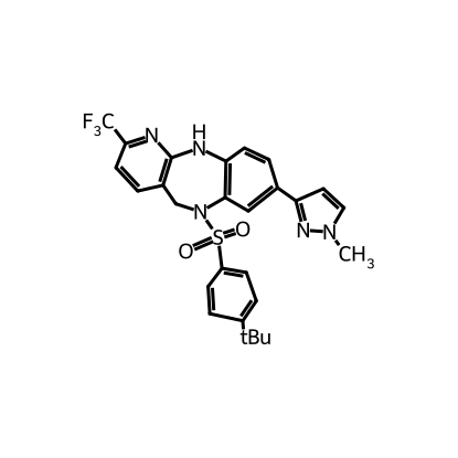 Cn1ccc(-c2ccc3c(c2)N(S(=O)(=O)c2ccc(C(C)(C)C)cc2)Cc2ccc(C(F)(F)F)nc2N3)n1